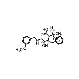 COc1cccc(CNC[C@H](O)[C@H](Cc2cccc(F)c2)N(C(=O)O)C(C)(C)C)c1